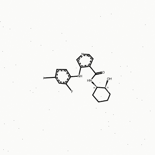 O=C(N[C@@H]1CCCC[C@@H]1O)c1ccncc1Nc1ccc(I)cc1F